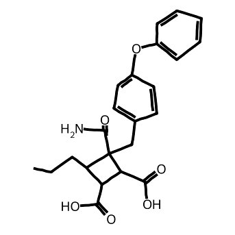 CCCC1C(C(=O)O)C(C(=O)O)C1(Cc1ccc(Oc2ccccc2)cc1)C(N)=O